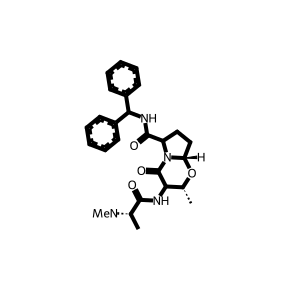 CN[C@@H](C)C(=O)NC1C(=O)N2C(C(=O)NC(c3ccccc3)c3ccccc3)CC[C@@H]2O[C@@H]1C